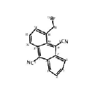 N#Cc1c2ccccc2c(C#N)c2c(CBr)cccc12